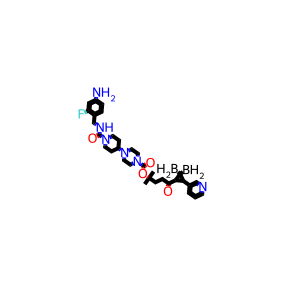 BC1(B)C(C(=O)CCC(C)(C)OC(=O)N2CCN(C3CCN(C(=O)NCc4ccc(N)cc4F)CC3)CC2)C1c1cccnc1